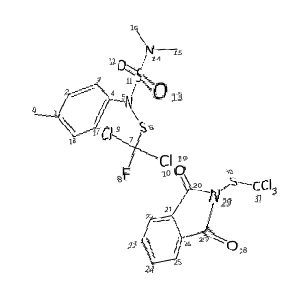 Cc1ccc(N(SC(F)(Cl)Cl)S(=O)(=O)N(C)C)cc1.O=C1c2ccccc2C(=O)N1SC(Cl)(Cl)Cl